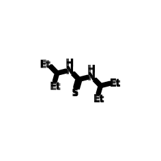 CCC(CC)NC(=S)NC(CC)CC